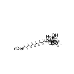 CCCCCCCCCCCCCCCCCCCCCCNC(CCO)(C(=O)[O-])[N+](C)(C)C